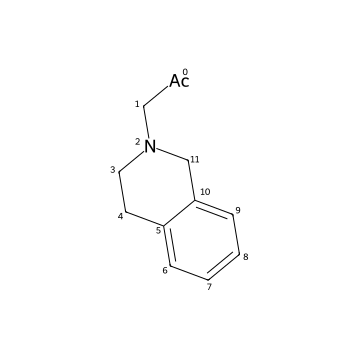 CC(=O)CN1CCc2ccccc2C1